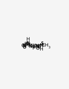 CC(=S)NCC1CN(c2ccc(C3CCN(Cc4c[nH]c5ccc([N+](=O)[O-])cc45)CC3)c(F)c2)C(=O)O1